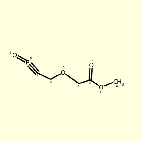 COC(=O)COCC#P=O